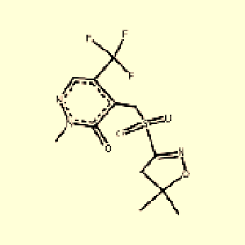 Cn1ncc(C(F)(F)F)c(CS(=O)(=O)C2=NOC(C)(C)C2)c1=O